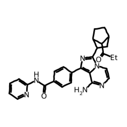 CCC(=O)C1C2CCC1C(c1nc(-c3ccc(C(=O)Nc4ccccn4)cc3)c3c(N)nccn13)C2